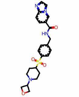 O=C(NCc1ccc(S(=O)(=O)C2CCN(C3COC3)CC2)cc1)c1ccc2nccn2c1